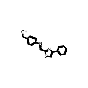 OCc1ccc(N=Cc2nc(-c3ccccc3)cs2)cc1